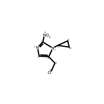 O=[N+]([O-])c1ncc(CCl)n1C1CC1